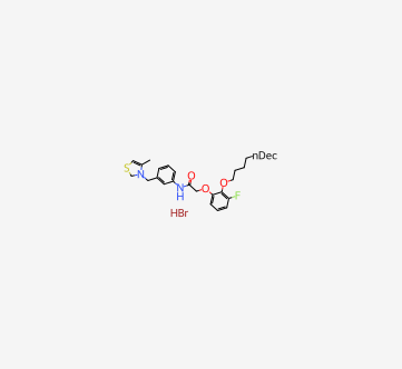 Br.CCCCCCCCCCCCCCOc1c(F)cccc1OCC(=O)Nc1cccc(CN2CSC=C2C)c1